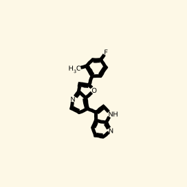 Cc1cc(F)ccc1-c1cc2nccc(-c3c[nH]c4ncccc34)c2o1